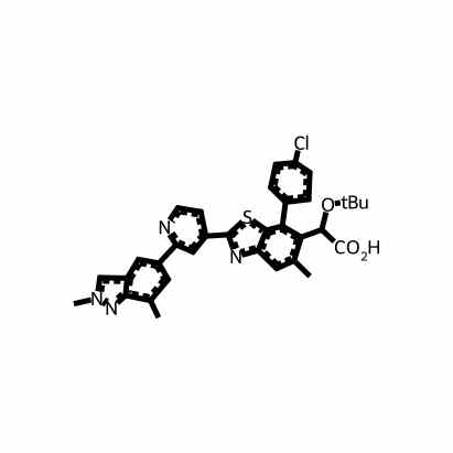 Cc1cc2nc(-c3ccnc(-c4cc(C)c5nn(C)cc5c4)c3)sc2c(-c2ccc(Cl)cc2)c1C(OC(C)(C)C)C(=O)O